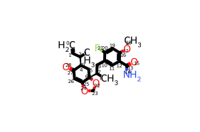 C=CC(C)[C@H]1C[C@]2(C(C)Cc3cc(C(N)=O)c(OC)cc3F)OCOC2=CC1=O